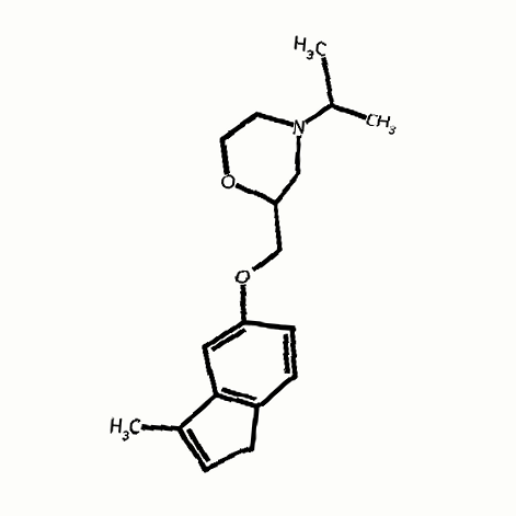 CC1=CCc2ccc(OCC3CN(C(C)C)CCO3)cc21